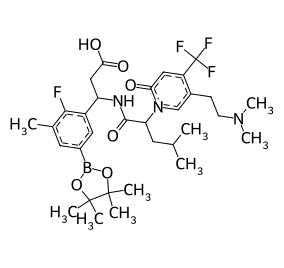 Cc1cc(B2OC(C)(C)C(C)(C)O2)cc(C(CC(=O)O)NC(=O)C(CC(C)C)n2cc(CCN(C)C)c(C(F)(F)F)cc2=O)c1F